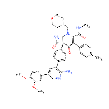 CNC(=O)C1=C(c2ccc(C)cc2)C(=O)C(C(N)=O)(c2ccc(-c3cc(-c4ccc(OC)c(OC)c4)cnc3N)cc2)CN1CC1CCOCC1